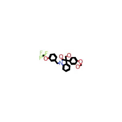 O=C1N(Cc2cccc(OC(F)(F)F)c2)c2ccccc2C12COc1cc3c(cc12)OCO3